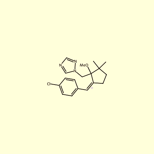 COC1(Cn2cncn2)/C(=C\c2ccc(Cl)cc2)CCC1(C)C